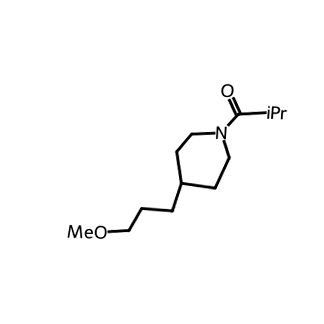 COCCCC1CCN(C(=O)C(C)C)CC1